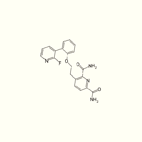 NC(=O)c1ccc(CCOc2ccccc2-c2cccnc2F)c(C(N)=O)n1